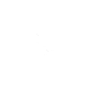 CC(CCCC(=O)NC(C)C(C)C)O[N+](=O)[O-]